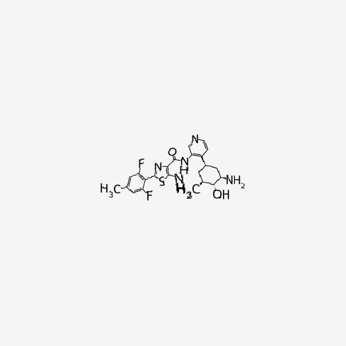 Cc1cc(F)c(-c2nc(C(=O)Nc3cnccc3[C@H]3C[C@@H](N)[C@H](O)[C@@H](C)C3)c(N)s2)c(F)c1